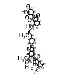 CN(CCNc1cccc2c1C(=O)N(C1CCC(=O)NC1=O)C2=O)CC1CCC(n2cc3cc(NC(=O)c4cccc(C(F)(F)F)n4)c(C(C)(C)O)cc3n2)CC1